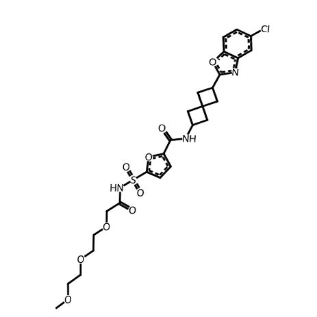 COCCOCCOCC(=O)NS(=O)(=O)c1ccc(C(=O)NC2CC3(C2)CC(c2nc4cc(Cl)ccc4o2)C3)o1